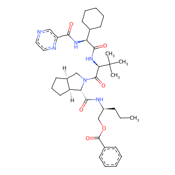 CCC[C@@H](COC(=O)c1ccccc1)NC(=O)[C@@H]1[C@H]2CCC[C@H]2CN1C(=O)[C@@H](NC(=O)[C@@H](NC(=O)c1cnccn1)C1CCCCC1)C(C)(C)C